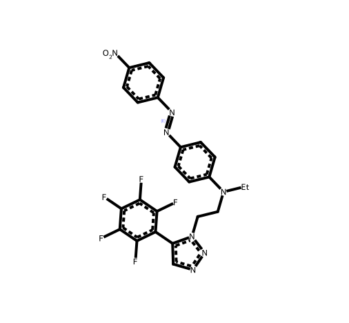 CCN(CCn1nncc1-c1c(F)c(F)c(F)c(F)c1F)c1ccc(/N=N/c2ccc([N+](=O)[O-])cc2)cc1